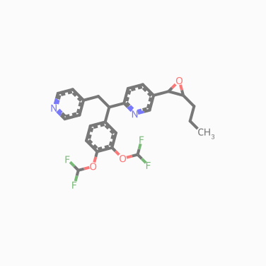 CCCC1OC1c1ccc(C(Cc2ccncc2)c2ccc(OC(F)F)c(OC(F)F)c2)nc1